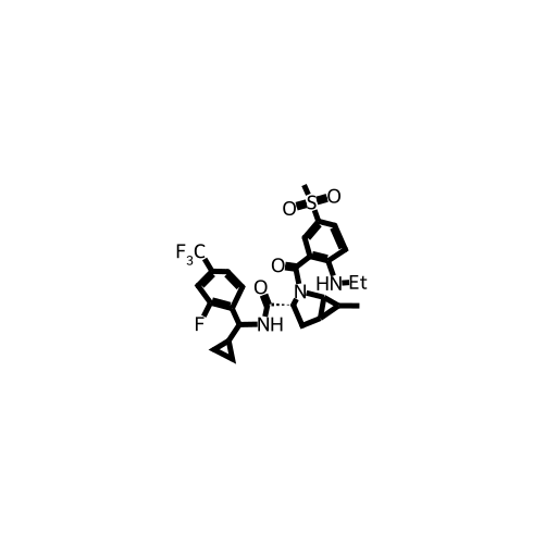 CCNc1ccc(S(C)(=O)=O)cc1C(=O)N1C2C(C)C2C[C@@H]1C(=O)NC(c1ccc(C(F)(F)F)cc1F)C1CC1